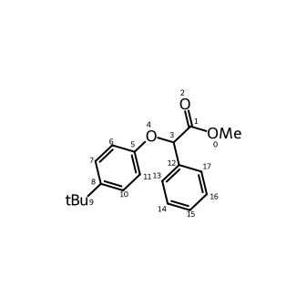 COC(=O)C(Oc1ccc(C(C)(C)C)cc1)c1ccccc1